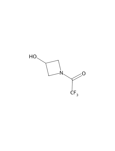 O=C(N1CC(O)C1)C(F)(F)F